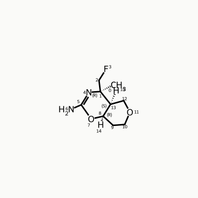 C[C@@]1(CF)N=C(N)O[C@@H]2CCOC[C@@H]21